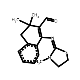 CN1CCS/C1=N/C1=C(C=O)C(C)(C)Cc2ccccc21